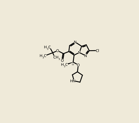 C[C@H](OC1CCNC1)c1c(C(=O)OC(C)(C)C)cnc2cc(Cl)nn12